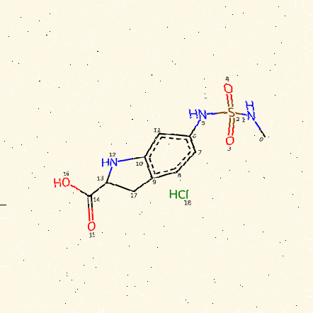 CNS(=O)(=O)Nc1ccc2c(c1)NC(C(=O)O)C2.Cl